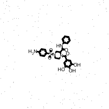 Nc1ccc(S(=O)(=O)N2CCN(C(=O)c3cc(O)c(O)c(O)c3)C(C(=O)Nc3ccccc3)C2)cc1